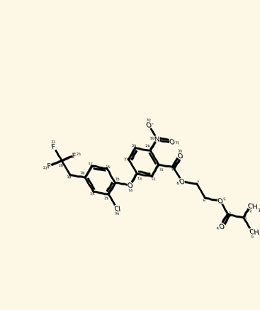 CC(C)C(=O)OCCOC(=O)c1cc(Oc2ccc(CC(F)(F)F)cc2Cl)ccc1[N+](=O)[O-]